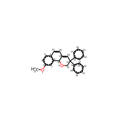 COc1ccc2c(c1)C1OCC(c3ccccc3)(c3ccccc3)C=C1C=C2